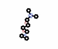 c1ccc(-c2nc(-c3ccccc3)nc(-c3ccc4oc5c(-c6cccc7oc8c(-n9c%10ccccc%10c%10ccccc%109)cccc8c67)cccc5c4c3)n2)cc1